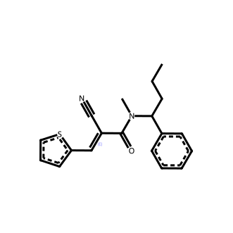 CCCC(c1ccccc1)N(C)C(=O)/C(C#N)=C/c1cccs1